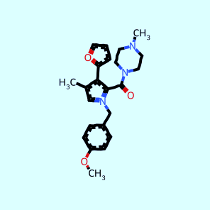 COc1ccc(Cn2cc(C)c(-c3ccco3)c2C(=O)N2CCN(C)CC2)cc1